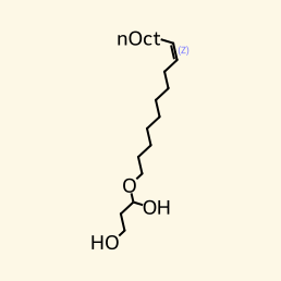 CCCCCCCC/C=C\CCCCCCCCOC(O)CCO